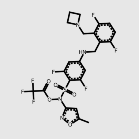 Cc1cc(N(OC(=O)C(F)(F)F)S(=O)(=O)c2c(F)cc(NCc3c(F)ccc(F)c3CN3CCC3)cc2F)no1